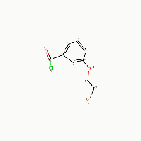 O=C(Cl)c1cccc(OCCBr)c1